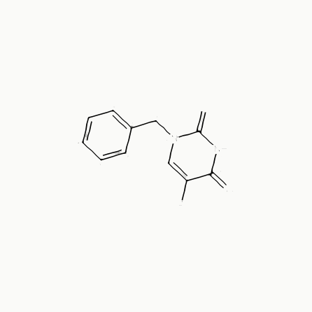 CCc1cn(Cc2ccccc2)c(=O)[nH]c1=O